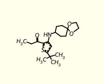 CCC(=O)c1sc(C(C)(C)C)cc1NC1CCC2(CC1)OCCO2